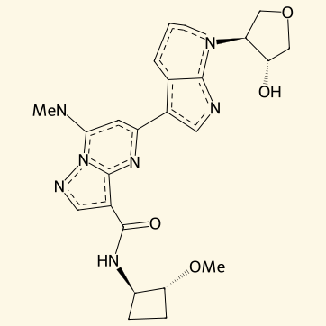 CNc1cc(-c2cnc3n([C@H]4COC[C@@H]4O)cccc2-3)nc2c(C(=O)N[C@@H]3CC[C@H]3OC)cnn12